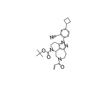 C=CC(=O)N1CCc2nn(-c3ccc(C4CCC4)cc3C#N)c3c2C(C1)N(C(=O)OC(C)(C)C)CC3